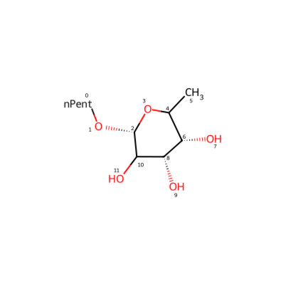 CCCCCO[C@@H]1OC(C)[C@H](O)[C@H](O)C1O